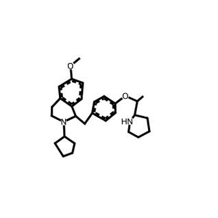 COc1ccc2c(c1)CCN(C1CCCC1)C2Cc1ccc(OC(C)C2CCCCN2)cc1